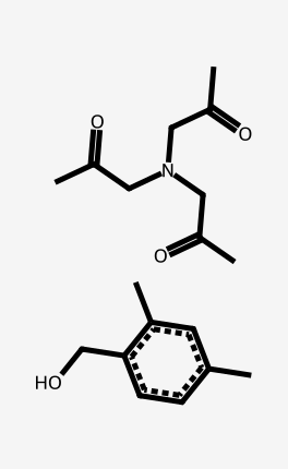 CC(=O)CN(CC(C)=O)CC(C)=O.Cc1ccc(CO)c(C)c1